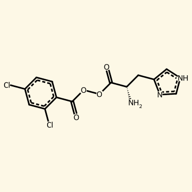 N[C@@H](Cc1c[nH]cn1)C(=O)OOC(=O)c1ccc(Cl)cc1Cl